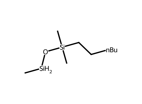 CCCCCC[Si](C)(C)O[SiH2]C